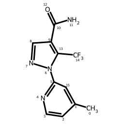 Cc1ccnc(-n2ncc(C(N)=O)c2C(F)(F)F)c1